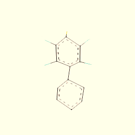 Fc1c(F)c(-c2ccccc2)c(F)c(F)c1S